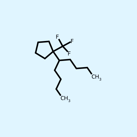 CCCCC(CCCC)C1(C(F)(F)F)CCCC1